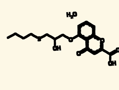 CCCCSCC(O)COc1cccc2oc(C(=O)O)cc(=O)c12.O